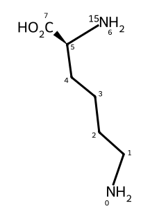 NCCCC[C@H]([15NH2])C(=O)O